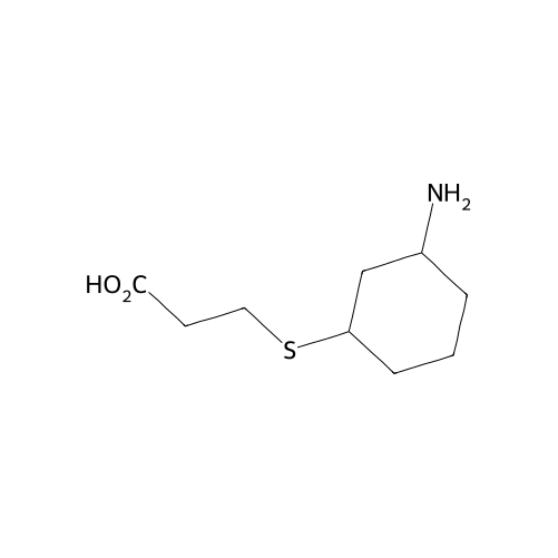 NC1CCCC(SCCC(=O)O)C1